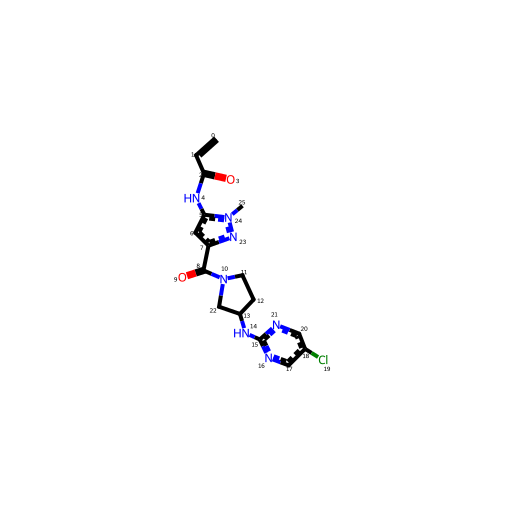 C=CC(=O)Nc1cc(C(=O)N2CCC(Nc3ncc(Cl)cn3)C2)nn1C